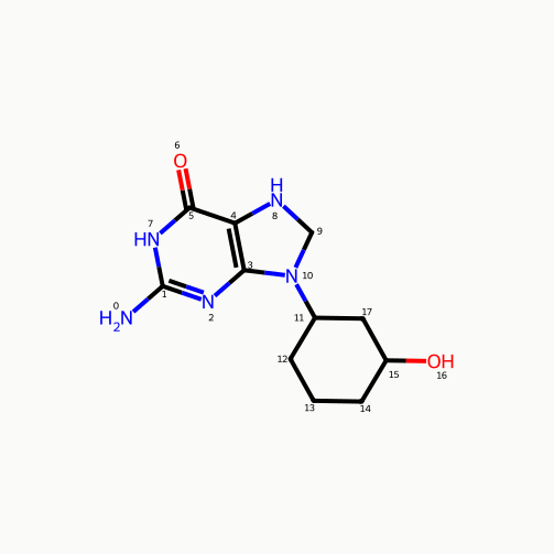 Nc1nc2c(c(=O)[nH]1)NCN2C1CCCC(O)C1